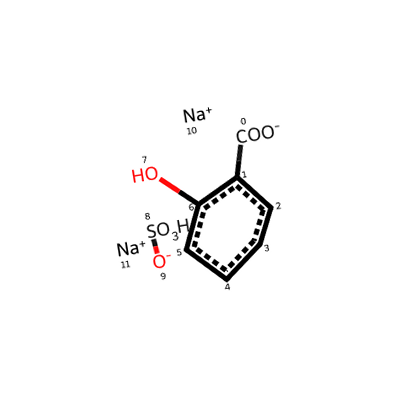 O=C([O-])c1ccccc1O.O=S(=O)([O-])O.[Na+].[Na+]